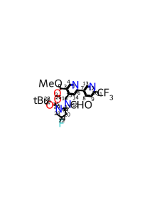 COC(=O)c1cnc(-c2ccc(C(F)(F)F)nc2)cc1CN(C=O)[C@H]1C[C@H](F)CN1C(=O)OC(C)(C)C